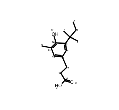 CCC(C)(C)c1cc(CCC(=O)O)cc(C)c1O